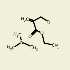 C=C(CCl)C(=O)OCC.CN(C)C